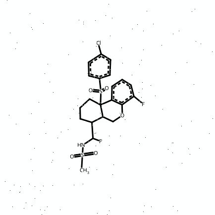 CS(=O)(=O)NC(F)C1CCCC2(S(=O)(=O)c3ccc(Cl)cc3)c3cccc(F)c3OCC12